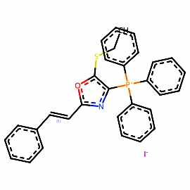 CCSc1oc(/C=C/c2ccccc2)nc1[P+](c1ccccc1)(c1ccccc1)c1ccccc1.[I-]